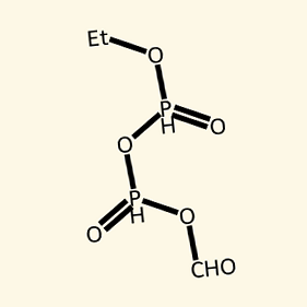 CCO[PH](=O)O[PH](=O)OC=O